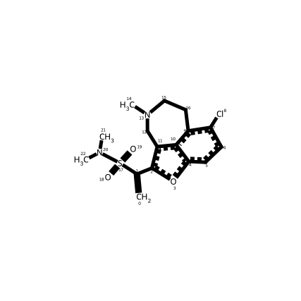 C=C(c1oc2ccc(Cl)c3c2c1CN(C)CC3)S(=O)(=O)N(C)C